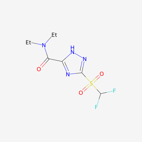 CCN(CC)C(=O)c1nc(S(=O)(=O)C(F)F)n[nH]1